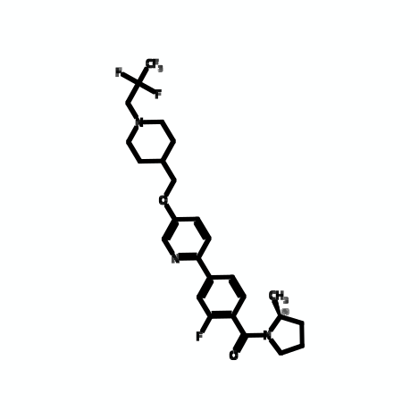 C[C@H]1CCCN1C(=O)c1ccc(-c2ccc(OCC3CCN(CC(F)(F)C(F)(F)F)CC3)cn2)cc1F